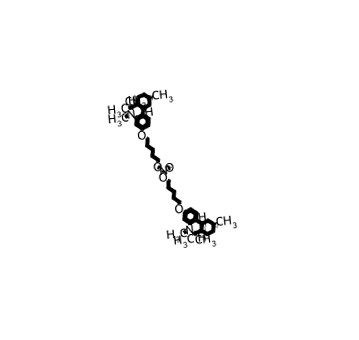 C[C@@H]1CC[C@@H]2[C@@H](C1)c1ccc(OCCCCCO[N+](=O)OCCCCCOc3ccc4c(c3)N(C)C(C)(C)[C@@H]3CC[C@@H](C)C[C@@H]43)cc1N(C)C2(C)C